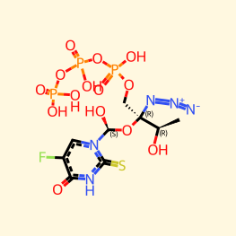 C[C@@H](O)[C@](COP(=O)(O)OP(=O)(O)OP(=O)(O)O)(N=[N+]=[N-])O[C@H](O)n1cc(F)c(=O)[nH]c1=S